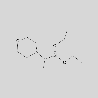 CCO[SiH](OCC)C(C)N1CCOCC1